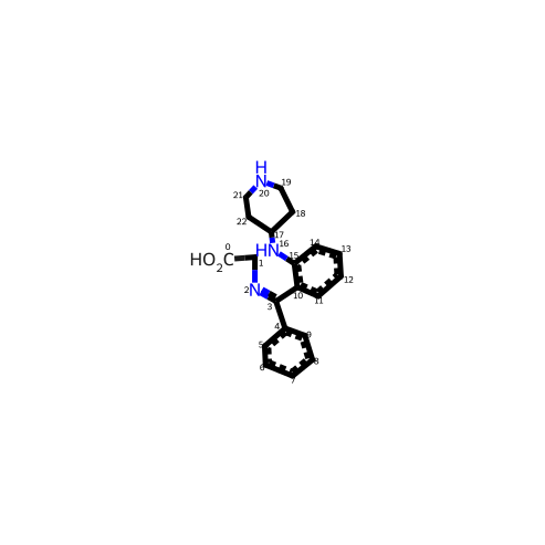 O=C(O)CN=C(c1ccccc1)c1ccccc1NC1CCNCC1